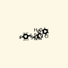 Cc1cccc(Cl)c1-n1cnc2nc(SCc3ccc(F)cc3)sc2c1=O